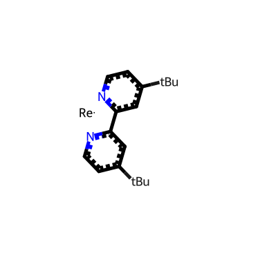 CC(C)(C)c1ccnc(-c2cc(C(C)(C)C)ccn2)c1.[Re]